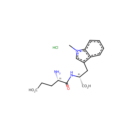 Cl.Cn1cc(C[C@@H](NC(=O)[C@@H](N)CCC(=O)O)C(=O)O)c2ccccc21